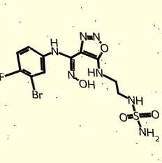 NS(=O)(=O)NCCNc1onnc1C(=NO)Nc1ccc(F)c(Br)c1